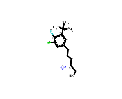 CC[C@H](N)CCCc1cc(Cl)c(F)c(C(C)(C)C)c1